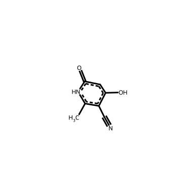 Cc1[nH]c(=O)cc(O)c1C#N